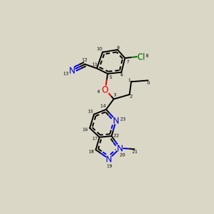 CCCC(Oc1cc(Cl)ccc1C#N)c1ccc2cnn(C)c2n1